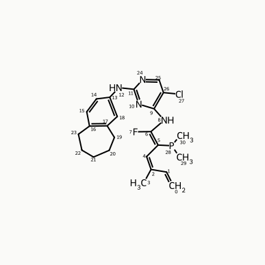 C=C/C(C)=C\C(=C(/F)Nc1nc(Nc2ccc3c(c2)CCCCC3)ncc1Cl)P(C)C